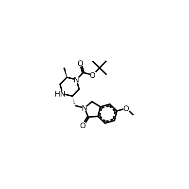 COc1ccc2c(c1)CN(C[C@H]1CN(C(=O)OC(C)(C)C)[C@H](C)CN1)C2=O